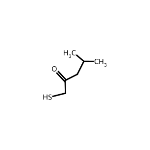 CC(C)CC(=O)CS